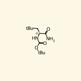 CC(C)(C)C[C@H](NC(=O)OC(C)(C)C)C(N)=O